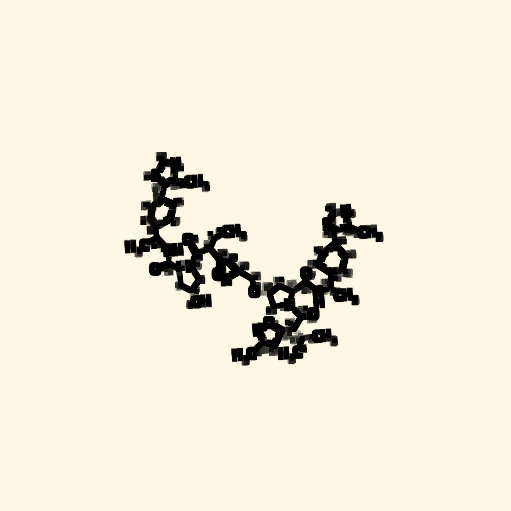 CCC(C(=O)N1C[C@H](O)C[C@H]1C(=O)N[C@@H](C)c1ccc(-c2scnc2C)cc1)c1cc(CO[C@@H]2C[C@@H](C(=O)N[C@@H](C)c3ccc(-c4scnc4C)cc3)N(C(=O)[C@@H](c3cc(C)no3)C(C)C)C2)no1